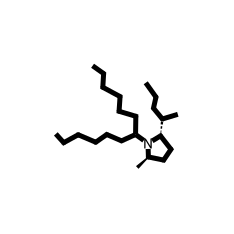 CCCCCCC(CCCCCC)N1[C@H](C)CC[C@H]1C(C)CCC